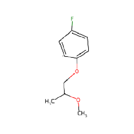 COC(C)COc1[c]cc(F)cc1